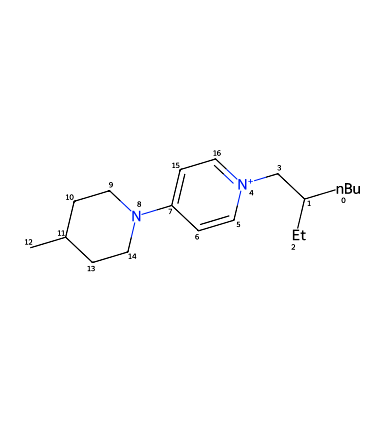 CCCCC(CC)C[n+]1ccc(N2CCC(C)CC2)cc1